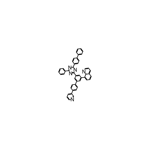 c1ccc(-c2ccc(-c3nc(-c4ccccc4)nc(-c4cc(-c5ccc(-c6cccnc6)cc5)cc(-c5cccc6cccnc56)c4)n3)cc2)cc1